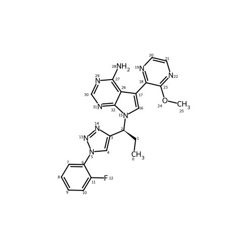 CC[C@@H](c1cn(-c2ccccc2F)nn1)n1cc(-c2nccnc2OC)c2c(N)ncnc21